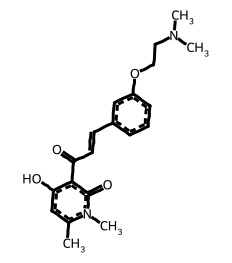 Cc1cc(O)c(C(=O)/C=C/c2cccc(OCCN(C)C)c2)c(=O)n1C